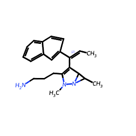 C/C=C(\C1=C(CCCN)N(C)N2C(C)C12)c1ccc2ccccc2c1